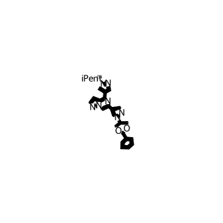 CCC[C@H](C)n1cc(-c2nc(-c3cnn(C4COC(c5ccccc5)OC4)c3)cn3nccc23)cn1